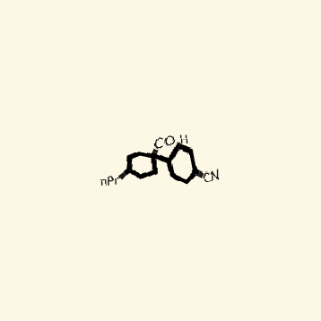 CCCC1CCC(C(=O)O)(C2CCC(C#N)CC2)CC1